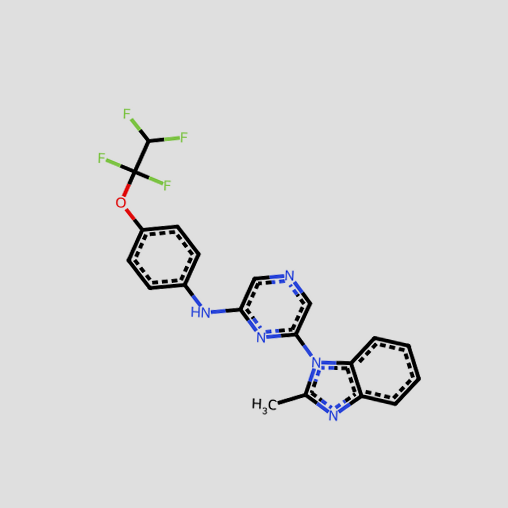 Cc1nc2ccccc2n1-c1cncc(Nc2ccc(OC(F)(F)C(F)F)cc2)n1